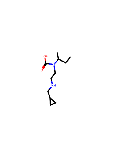 CCC(C)N(CCNCC1CC1)C(=O)O